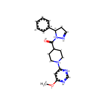 COc1cc(N2CCC(C(=O)N3N=CCC3c3ccccc3)CC2)ncn1